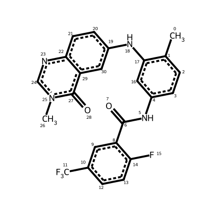 Cc1ccc(NC(=O)c2cc(C(F)(F)F)ccc2F)cc1Nc1ccc2ncn(C)c(=O)c2c1